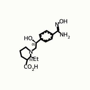 CC[C@H]1C(C(=O)O)CCCN1C[C@@H](O)c1ccc(C(N)=NO)cc1